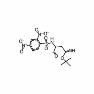 CC(C)(C)OC(=N)C[C@@H]([C]=O)NS(=O)(=O)c1ccc([N+](=O)[O-])cc1[N+](=O)[O-]